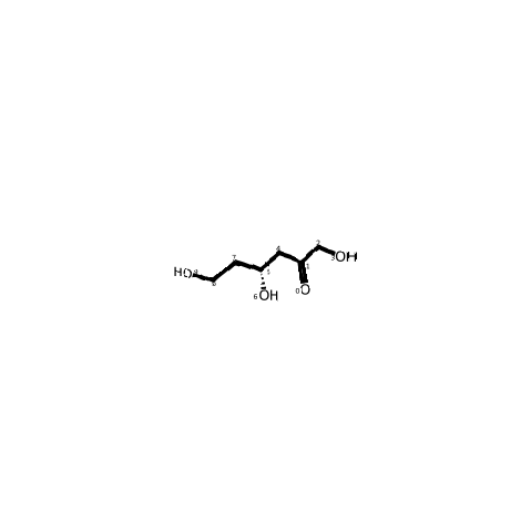 O=C(CO)C[C@H](O)CCO